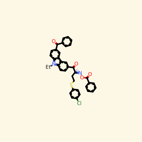 CCn1c2ccc(C(=O)/C(CCSc3ccc(Cl)cc3)=N/OC(=O)c3ccccc3)cc2c2cc(C(=O)c3ccccc3)ccc21